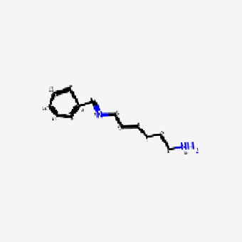 NCCCCCCN=Cc1ccccc1